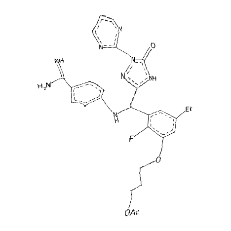 CCc1cc(OCCCOC(C)=O)c(F)c(C(Nc2ccc(C(=N)N)cc2)c2nn(-c3ncccn3)c(=O)[nH]2)c1